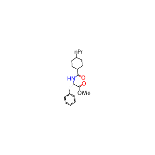 CCCC1CCC(C(=O)N[C@@H](Cc2ccccc2)C(=O)OC)CC1